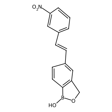 O=[N+]([O-])c1cccc(/C=C/c2ccc3c(c2)COB3O)c1